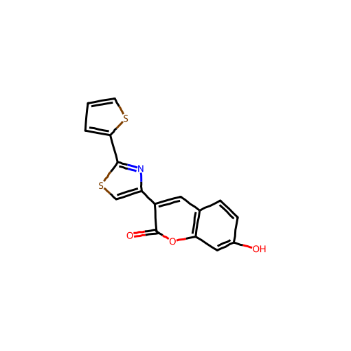 O=c1oc2cc(O)ccc2cc1-c1csc(-c2cccs2)n1